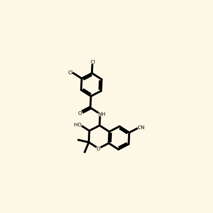 CC1(C)Oc2ccc(C#N)cc2C(NC(=O)c2ccc(Cl)c(Cl)c2)C1O